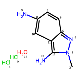 Cl.Cl.Cn1nc2ccc(N)cc2c1N.O